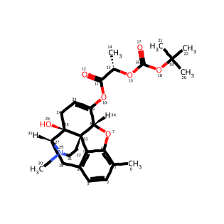 Cc1ccc2c3c1O[C@H]1C(OC(=O)[C@H](C)OC(=O)OC(C)(C)C)=CC[C@@]4(O)[C@@H](C2)N(C)CC[C@]314